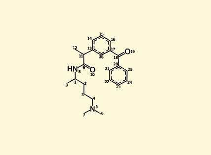 CC(CCCN(C)C)NC(=O)C(C)c1cccc(C(=O)c2ccccc2)c1